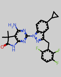 CC1(C)C(=O)Nc2nc(-n3nc(Cc4c(F)ccc(F)c4F)c4cc(C5CC5)ccc43)nc(N)c21